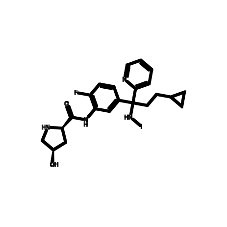 O=C(Nc1cc(C(CCC2CC2)(NI)c2ccccn2)ccc1F)[C@H]1C[C@@H](O)CN1